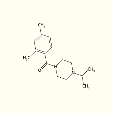 Cc1ccc(C(=O)N2CCN(C(C)C)CC2)c(C)c1